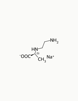 C[C@H](NCCN)C(=O)[O-].[Na+]